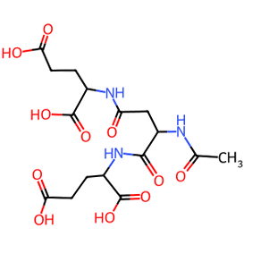 CC(=O)NC(CC(=O)NC(CCC(=O)O)C(=O)O)C(=O)NC(CCC(=O)O)C(=O)O